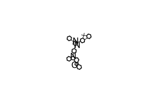 CC1(C)c2ccccc2-c2ccc(-c3nc(-c4ccccc4)cc(-c4ccc(-n5c6ccccc6c6c7oc8ccccc8c7ccc65)cc4)n3)cc21